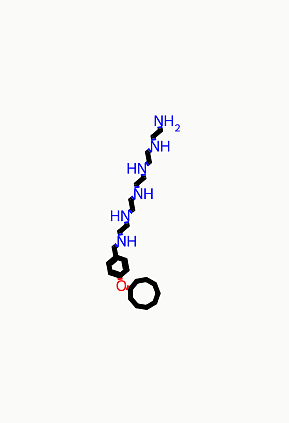 NCCNCCNCCNCCNCCNCc1ccc(OC2CCCCCCCC2)cc1